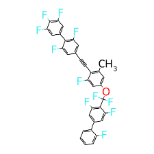 Cc1cc(OC(F)(F)c2c(F)cc(-c3ccccc3F)cc2F)cc(F)c1C#Cc1cc(F)c(-c2cc(F)c(F)c(F)c2)c(F)c1